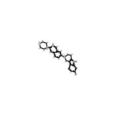 Fc1ccc2c3c([nH]c2c1)CCN(c1ccc2cc(N4CCOCC4)ncc2c1)C3